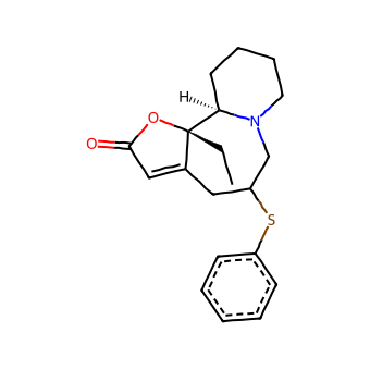 CC[C@]12OC(=O)C=C1CC(Sc1ccccc1)CN1CCCC[C@@H]12